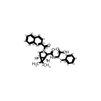 CC1(C)[C@@H]2C(C(=O)N[C@@H](Cc3ccccc3)C(=O)O)N(C(=O)c3ccc4ccccc4n3)C[C@@H]21